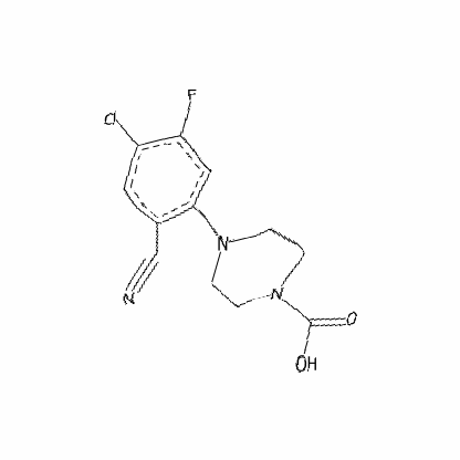 N#Cc1cc(Cl)c(F)cc1N1CCN(C(=O)O)CC1